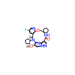 O=C1NC2(CCCC2)COc2ncc(F)cc2CN2c3nc4c1cnn4cc3O[C@H]1CCC[C@H]12